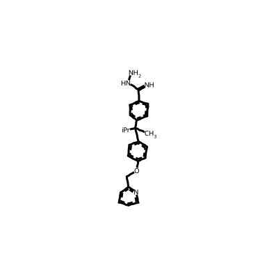 CC(C)C(C)(c1ccc(OCc2ccccn2)cc1)c1ccc(C(=N)NN)cc1